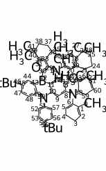 CC1=CCCC=C1N(c1cc2c3c(c1)N(c1ccc4c(c1)C(C)(C)CCC4(C)C)c1c(oc4c1C(C)(C)CCC4(C)C)B3c1cc(C(C)(C)C)ccc1N2c1ccc(C(C)(C)C)cc1)C1CC=CC=C1C